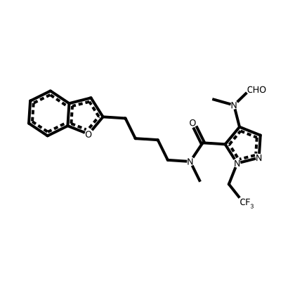 CN(CCCCc1cc2ccccc2o1)C(=O)c1c(N(C)C=O)cnn1CC(F)(F)F